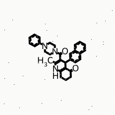 CC1=C(C(=O)N2CCN(c3ccccc3)CC2)C(c2ccc3ccccc3c2)C2=C(CCCC2=O)N1